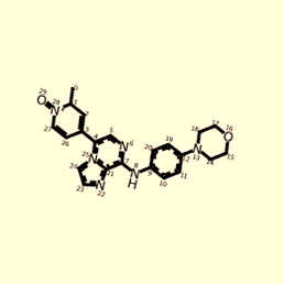 CC1C=C(c2cnc(Nc3ccc(N4CCOCC4)cc3)c3nccn23)C=C[N+]1=O